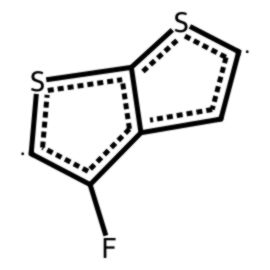 Fc1[c]sc2s[c]cc12